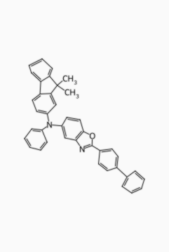 CC1(C)c2ccccc2-c2ccc(N(c3ccccc3)c3ccc4oc(-c5ccc(-c6ccccc6)cc5)nc4c3)cc21